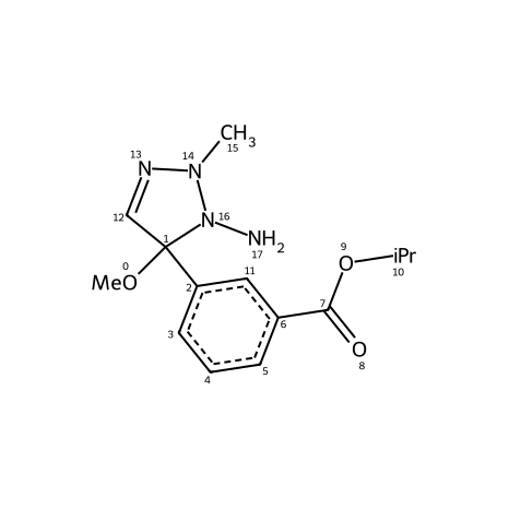 COC1(c2cccc(C(=O)OC(C)C)c2)C=NN(C)N1N